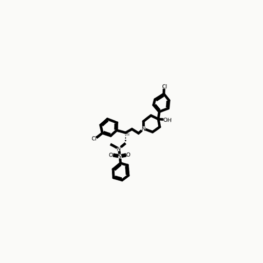 CN(C[C@@H](CCN1CCC(O)(c2ccc(Cl)cc2)CC1)c1cccc(Cl)c1)S(=O)(=O)c1ccccc1